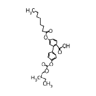 CCCCCCCC(=O)Oc1ccc(C(=O)O)c(-c2ccc(OC(=O)OCC(C)CC)cc2)c1